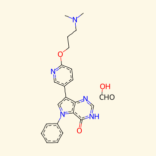 CN(C)CCCOc1ccc(-c2cn(-c3ccccc3)c3c(=O)[nH]cnc23)cn1.O=CO